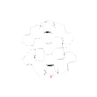 FC(F)(F)c1c(N2c3ccccc3C=Cc3ccccc32)c(N2c3ccccc3C=Cc3ccccc32)c(C(F)(F)F)c(N2c3ccccc3C=Cc3ccccc32)c1N1c2ccccc2C=Cc2ccccc21